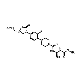 CC(=O)NC[C@H]1CN(c2ccc(N3CCN(C(=O)NC(=N)NC(=O)OC(C)(C)C)CC3)c(F)c2)C(=O)O1